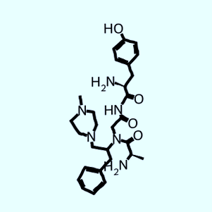 C[C@@H](N)C(=O)N(CC(=O)NC(=O)[C@@H](N)Cc1ccc(O)cc1)C(Cc1ccccc1)CN1CCN(C)CC1